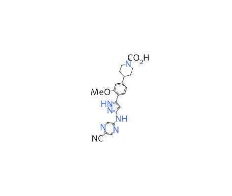 COc1cc(C2CCN(C(=O)O)CC2)ccc1-c1cc(Nc2cnc(C#N)cn2)n[nH]1